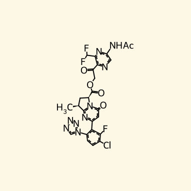 CC(=O)Nc1cnc(C(=O)COC(=O)[C@@H]2C[C@H](C)c3nc(-c4c(-n5cnnn5)ccc(Cl)c4F)cc(=O)n32)c(C(F)F)n1